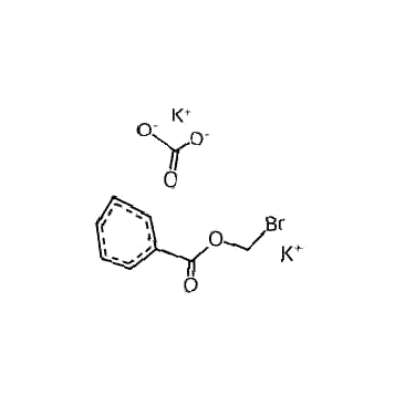 O=C(OCBr)c1ccccc1.O=C([O-])[O-].[K+].[K+]